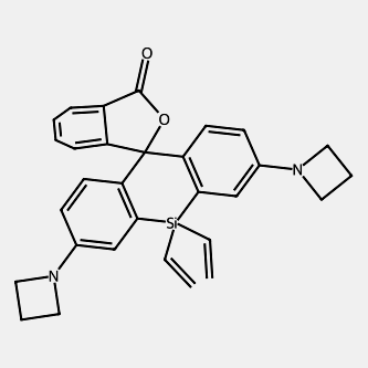 C=C[Si]1(C=C)c2cc(N3CCC3)ccc2C2(OC(=O)c3ccccc32)c2ccc(N3CCC3)cc21